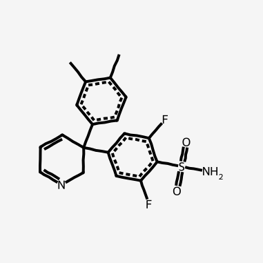 Cc1ccc(C2(c3cc(F)c(S(N)(=O)=O)c(F)c3)C=CC=NC2)cc1C